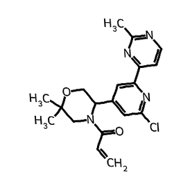 C=CC(=O)N1CC(C)(C)OCC1c1cc(Cl)nc(-c2ccnc(C)n2)c1